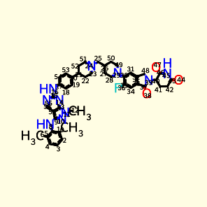 Cc1cccc(C)c1Nc1nn(C)c2nc(Nc3ccc(C4CCN(CC5CCN(c6cc7c(cc6F)C(=O)N(C6CCC(=O)NC6=O)C7)CC5)CC4)cc3)ncc12